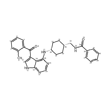 Cc1ccccc1C(=O)c1c[nH]c2ncnc(N[C@H]3CC[C@@H](CNC(=O)c4ccccc4)CC3)c12